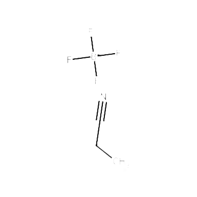 CCC#N.F[B-](F)(F)F